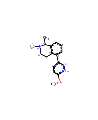 COc1ccc(-c2cccc3c2CCN(C)C3C)cn1